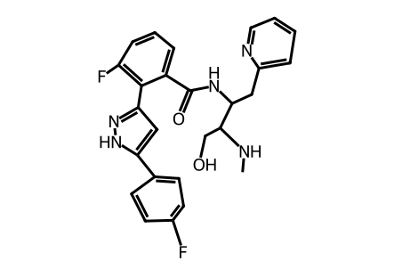 CNC(CO)C(Cc1ccccn1)NC(=O)c1cccc(F)c1-c1cc(-c2ccc(F)cc2)[nH]n1